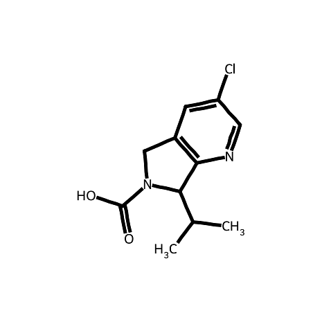 CC(C)C1c2ncc(Cl)cc2CN1C(=O)O